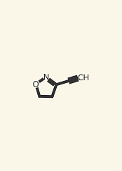 C#CC1=NOCC1